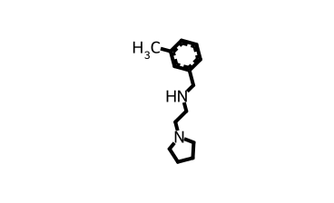 Cc1cccc(CNCCN2CCCC2)c1